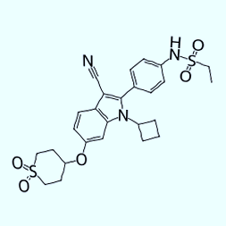 CCS(=O)(=O)Nc1ccc(-c2c(C#N)c3ccc(OC4CCS(=O)(=O)CC4)cc3n2C2CCC2)cc1